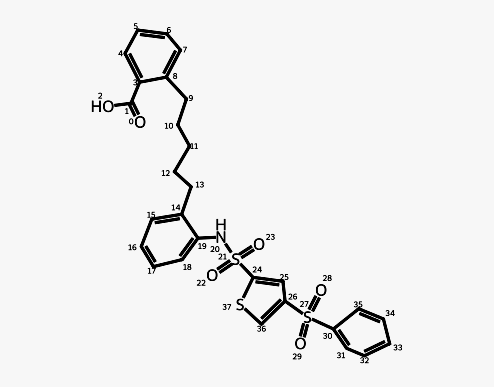 O=C(O)c1ccccc1CCCCCc1ccccc1NS(=O)(=O)c1cc(S(=O)(=O)c2ccccc2)cs1